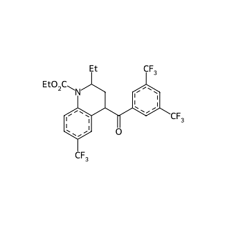 CCOC(=O)N1c2ccc(C(F)(F)F)cc2C(C(=O)c2cc(C(F)(F)F)cc(C(F)(F)F)c2)CC1CC